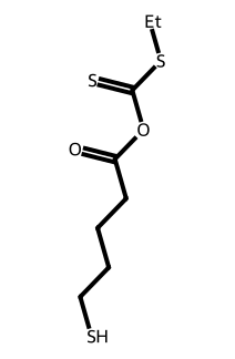 CCSC(=S)OC(=O)CCCCS